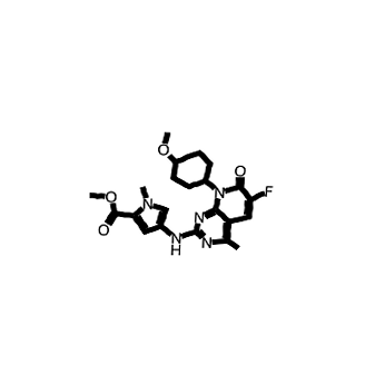 COC(=O)c1cc(Nc2nc(C)c3cc(F)c(=O)n(C4CCC(OC)CC4)c3n2)cn1C